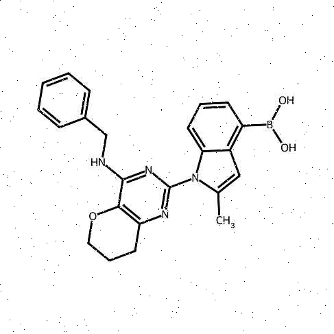 Cc1cc2c(B(O)O)cccc2n1-c1nc2c(c(NCc3ccccc3)n1)OCCC2